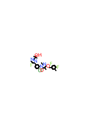 Cc1cc(COc2nc(C)n(-c3cc(-c4nc(C(C)(C)O)ncc4F)ccc3Cl)c(=O)c2C)c(F)cc1F